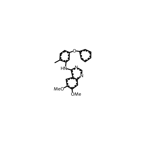 COc1cc2ncnc(Nc3cc(Oc4ccccc4)ccc3C)c2cc1OC